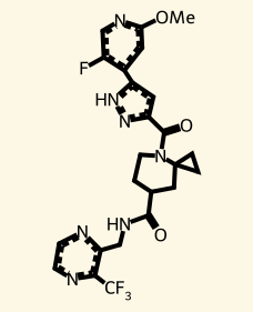 COc1cc(-c2cc(C(=O)N3CCC(C(=O)NCc4nccnc4C(F)(F)F)CC34CC4)n[nH]2)c(F)cn1